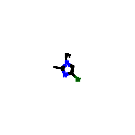 Cc1nc(Br)cn1C(C)C